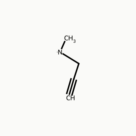 C#CC[N]C